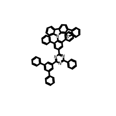 c1ccc(-c2cc(-c3ccccc3)cc(-c3nc(-c4ccccc4)nc(-c4cc(-c5ccccc5)c(-n5c6ccccc6c6ccc7c8ccccc8sc7c65)c(-c5ccccc5)c4)n3)c2)cc1